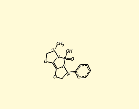 C[C@H]1COC2=C3OC[C@H](c4ccccc4)N3P(=O)(O)N21